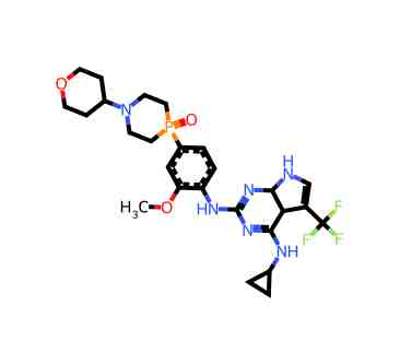 COc1cc(P2(=O)CCN(C3CCOCC3)CC2)ccc1NC1=NC2NC=C(C(F)(F)F)C2C(NC2CC2)=N1